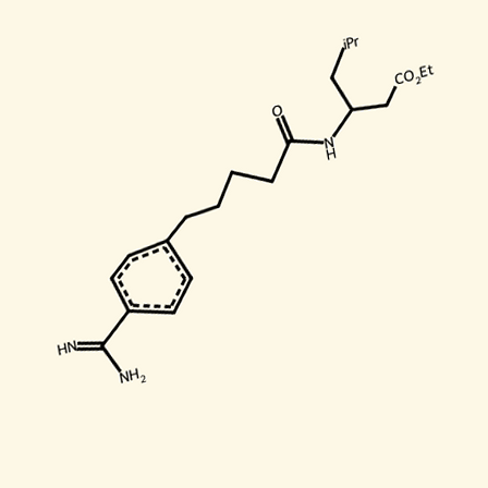 CCOC(=O)CC(CC(C)C)NC(=O)CCCCc1ccc(C(=N)N)cc1